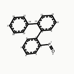 O=Pc1ccccc1-c1ccccc1-c1ccccc1